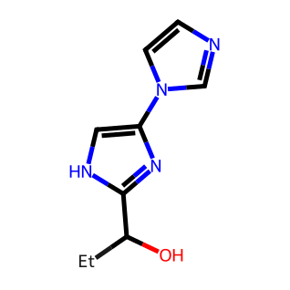 CCC(O)c1nc(-n2ccnc2)c[nH]1